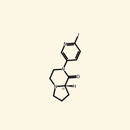 O=C1[C@@H]2CCCN2CCN1c1ccc(I)nc1